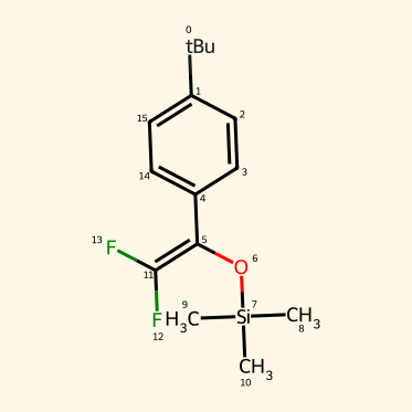 CC(C)(C)c1ccc(C(O[Si](C)(C)C)=C(F)F)cc1